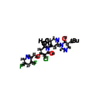 Cc1cnc(-n2cncc(C(C)(C)C)c2=O)cc1-n1c(C)cc(OCc2ncc(F)cc2F)c(Cl)c1=O